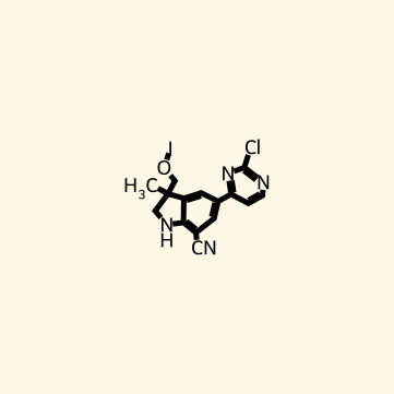 CC1(COI)CNc2c(C#N)cc(-c3ccnc(Cl)n3)cc21